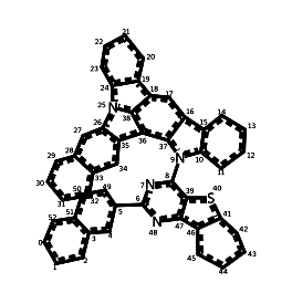 c1ccc2cc(-c3nc(-n4c5ccccc5c5cc6c7ccccc7n7c8cc9ccccc9cc8c(c54)c67)c4sc5ccccc5c4n3)ccc2c1